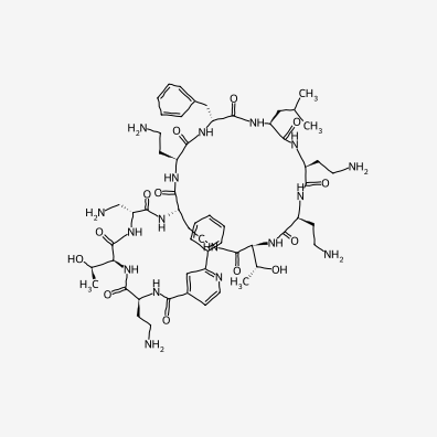 CC(C)C[C@@H]1NC(=O)[C@@H](Cc2ccccc2)NC(=O)[C@H](CCN)NC(=O)[C@@H](NC(=O)[C@@H](CN)NC(=O)[C@@H](NC(=O)[C@H](CCN)NC(=O)c2ccnc(-c3ccccc3)c2)[C@@H](C)O)CCNC(=O)[C@H]([C@@H](C)O)NC(=O)[C@H](CCN)NC(=O)[C@H](CCN)NC1=O